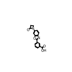 O=C(O)c1cccc(-c2nc3ccc(N4CCC4=O)cc3o2)c1